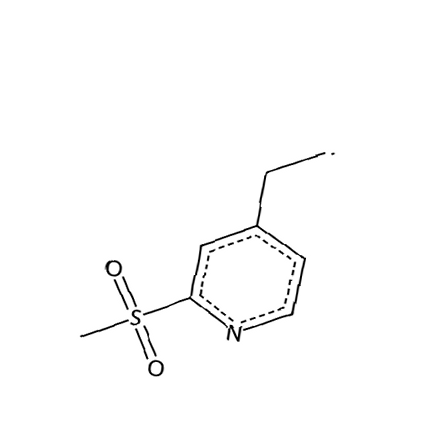 [CH2]Cc1ccnc(S(C)(=O)=O)c1